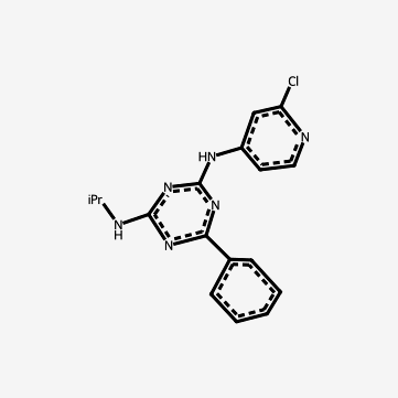 CC(C)Nc1nc(Nc2ccnc(Cl)c2)nc(-c2ccccc2)n1